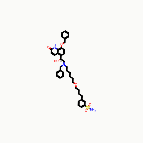 NS(=O)(=O)c1cccc(CCCCOCCCCCCN(Cc2ccccc2)C[C@@H](O)c2ccc(OCc3ccccc3)c3[nH]c(=O)ccc23)c1